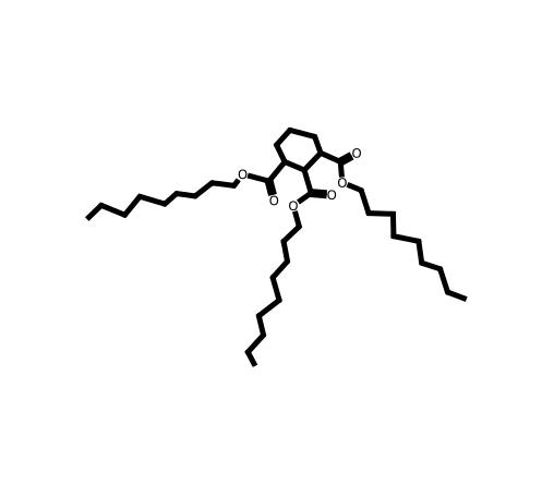 CCCCCCCCCOC(=O)C1CCCC(C(=O)OCCCCCCCCC)C1C(=O)OCCCCCCCCC